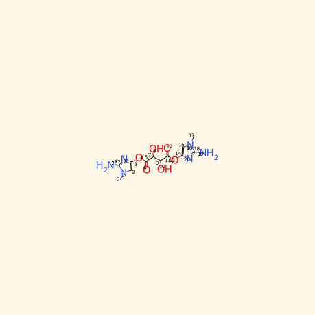 Cn1cc(OC(=O)C(O)C(O)C(=O)Oc2cn(C)c(N)n2)nc1N